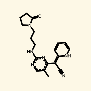 Cc1cnc(NCCCN2CCCC2=O)nc1/C(C#N)=C1\C=CC=CN1